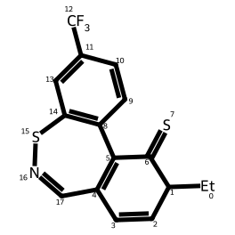 CCC1C=CC2=C(C1=S)c1ccc(C(F)(F)F)cc1SN=C2